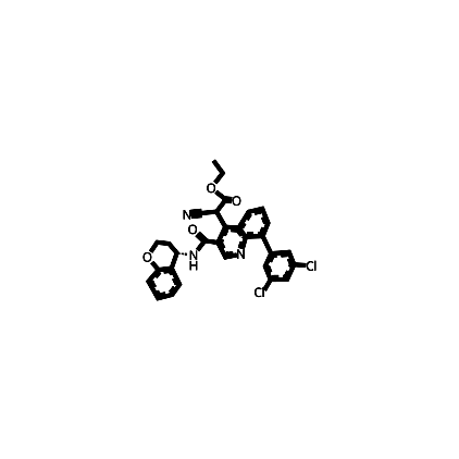 CCOC(=O)C(C#N)c1c(C(=O)N[C@H]2CCOc3ccccc32)cnc2c(-c3cc(Cl)cc(Cl)c3)cccc12